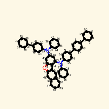 c1ccc(-c2ccc(-c3ccc(N(c4ccccc4)c4cc(N(c5ccccc5)c5ccc(-c6ccccc6)cc5)cc5oc6cc7ccccc7cc6c45)cc3)cc2)cc1